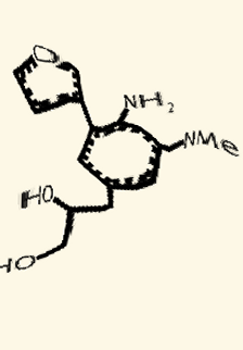 CNc1cc(CC(O)CO)cc(-c2ccoc2)c1N